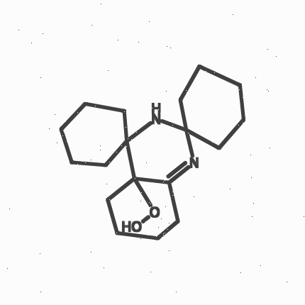 OOC12CCCCC1=NC1(CCCCC1)NC21CCCCC1